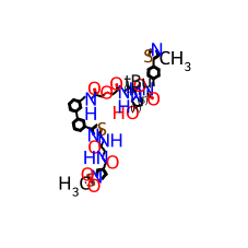 Cc1ncsc1-c1ccc(CNC(=O)[C@@H]2C[C@@H](O)CN2C(=O)[C@@H](NC(=O)COCC(=O)NCc2cccc(-c3cccc(-c4csc(NC(=O)CNC(=O)c5ccn(S(C)(=O)=O)c5)n4)c3)c2)C(C)(C)C)cc1